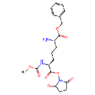 CC(C)(C)OC(=O)N[C@@H](CCCC(N)C(=O)OCc1ccccc1)C(=O)ON1C(=O)CCC1=O